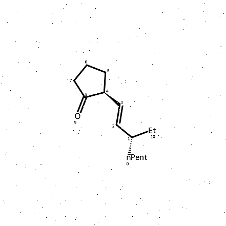 CCCCC[C@H](/C=C/[C@@H]1CCCC1=O)CC